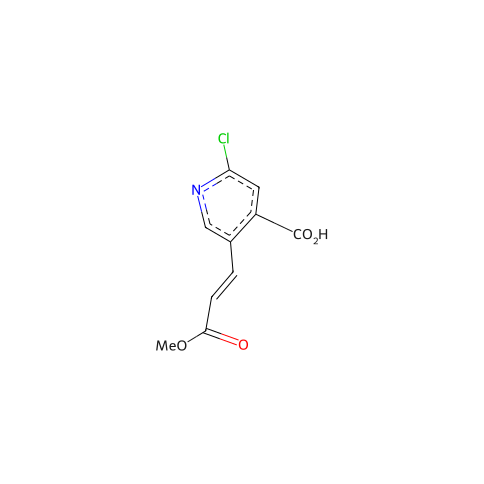 COC(=O)C=Cc1cnc(Cl)cc1C(=O)O